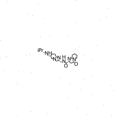 CC(C)CNCc1ccc2nc(CNC(=O)c3cc(=O)n4ccccc4n3)cn2c1